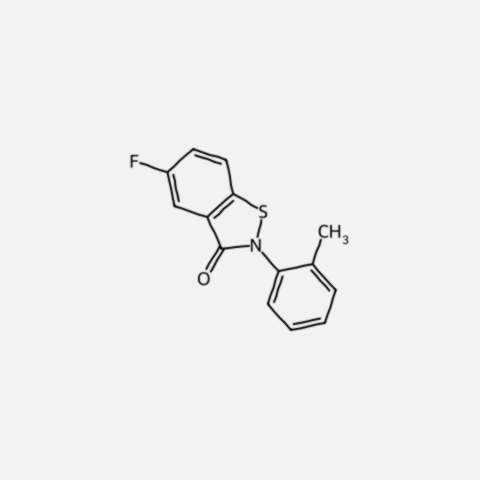 Cc1ccccc1-n1sc2ccc(F)cc2c1=O